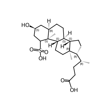 C[C@H](CCC(=O)O)[C@H]1CC[C@H]2[C@@H]3CC[C@@H]4C[C@H](O)CC(S(=O)(=O)O)[C@]4(C)[C@H]3CC[C@]12C